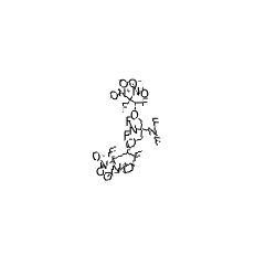 O=[N+]([O-])C(F)(C(F)OCC(COC(F)C(F)([N+](=O)[O-])[N+](=O)[O-])(N(F)F)N(F)F)[N+](=O)[O-]